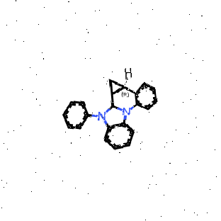 c1ccc(N2c3ccccc3N3c4ccccc4[C@@H]4CC4C23)cc1